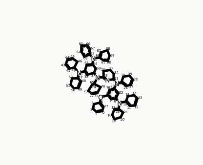 C1=CCCC(Oc2cc(N(C3=CC=CCC3)C3=CCCCC3)cc(N(C3=CC=CCC3)C3CCCC(N(C4C=C(N(C5C=CC=CC5)C5C=CCCC5)C=C(N(C5=CCCC=C5)c5ccccc5)C4)C4CC=CCC4)=N3)c2)=C1